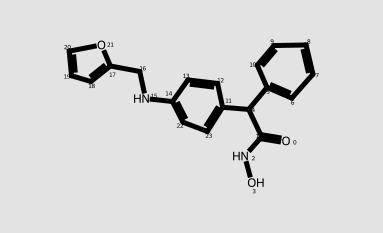 O=C(NO)C(c1ccccc1)c1ccc(NCc2ccco2)cc1